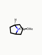 CO[C@H]1CC2CC[C@@H](C1)N2C